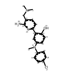 CN(C)Cc1ccc(-c2cc(N(C)c3ccc(Cl)cc3)ccc2O)nc1N